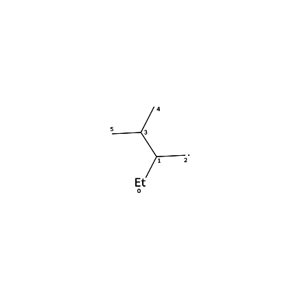 [CH2]CC([CH2])C(C)C